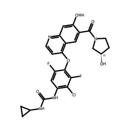 COc1cc2nccc(Oc3c(F)cc(NC(=O)NC4CC4)c(Cl)c3F)c2cc1C(=O)N1CC[C@H](O)C1